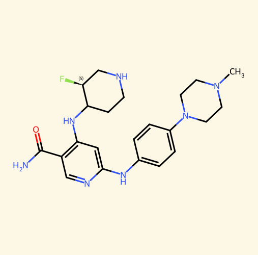 CN1CCN(c2ccc(Nc3cc(NC4CCNC[C@@H]4F)c(C(N)=O)cn3)cc2)CC1